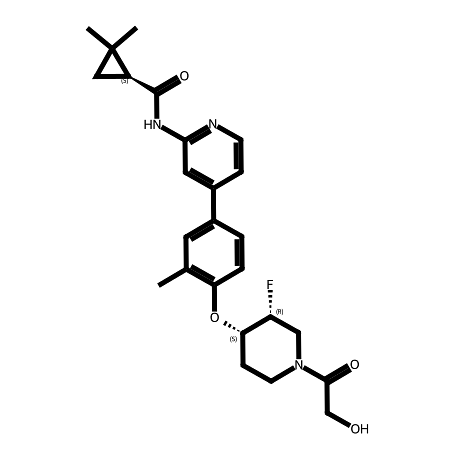 Cc1cc(-c2ccnc(NC(=O)[C@H]3CC3(C)C)c2)ccc1O[C@H]1CCN(C(=O)CO)C[C@H]1F